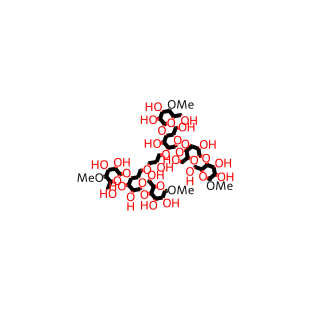 COC1OC(CO)C(OC2OC(COCC(O)COC3C(O[C@]45OC4C(O)C(OC4C(CO)OC(OC)C(O)C4O)OC5CO)OC(CO)C(OC4OC(CO)C(OC)C(O)C4O)C3O)C(OC3OC(CO)C(OC)C(O)C3O)C(O)C2O)C(O)C1O